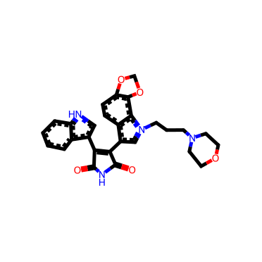 O=C1NC(=O)C(c2cn(CCCN3CCOCC3)c3c4c(ccc23)OCO4)=C1c1c[nH]c2ccccc12